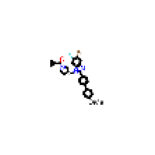 COc1ccc(-c2ccc(-c3nc4cc(Br)c(F)cc4n3C[C@H]3CCN(C(=O)C4CC4)C3)cc2)cc1